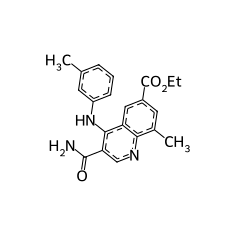 CCOC(=O)c1cc(C)c2ncc(C(N)=O)c(Nc3cccc(C)c3)c2c1